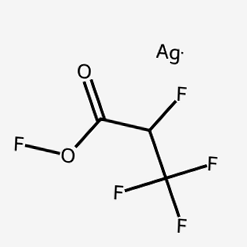 O=C(OF)C(F)C(F)(F)F.[Ag]